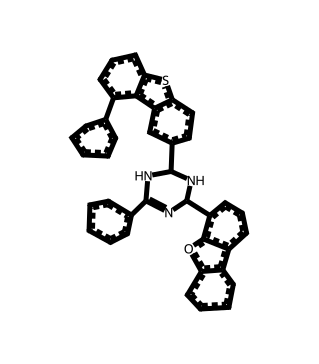 c1ccc(C2=NC(c3cccc4c3oc3ccccc34)NC(c3ccc4sc5cccc(-c6ccccc6)c5c4c3)N2)cc1